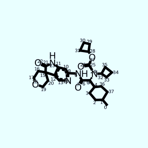 CC1CCC([C@@H](C(=O)Nc2cc3c(cn2)C2(CCOCC2)C(=O)N3)N(C(=O)OC2CCC2)C2CCC2)CC1